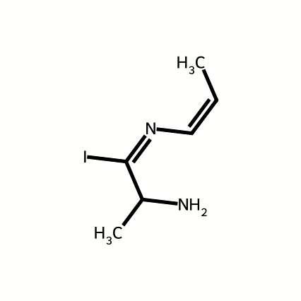 C/C=C\N=C(\I)C(C)N